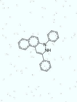 C1=C(c2ccccc2)NN(c2ccccc2)c2ccc3ccccc3c21